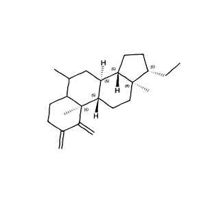 C=C1CCC2C(C)C[C@H]3[C@@H]4CC[C@H](CC)[C@@]4(C)CC[C@@H]3[C@@]2(C)C1=C